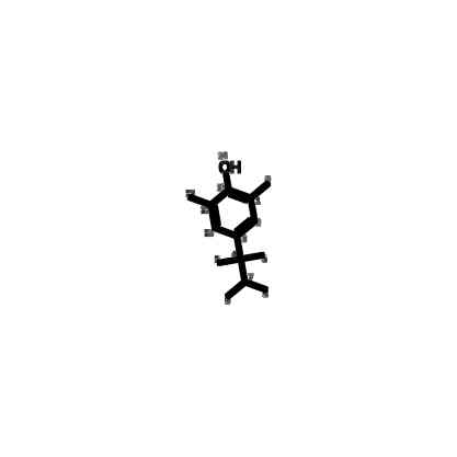 Cc1cc(C(C)(C)C(C)C)cc(C)c1O